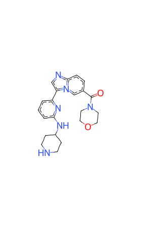 O=C(c1ccc2ncc(-c3cccc(NC4CCNCC4)n3)n2c1)N1CCOCC1